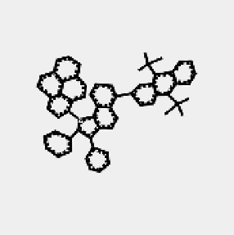 CC(C)(C)c1c2ccccc2c(C(C)(C)C)c2cc(-c3cccc4c3ccc3c(-c5ccccc5)c(-c5ccccc5)n(-c5ccc6ccc7cccc8ccc5c6c78)c34)ccc12